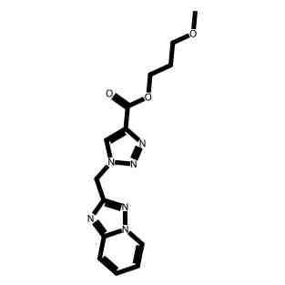 COCCCOC(=O)c1cn(Cc2nc3ccccn3n2)nn1